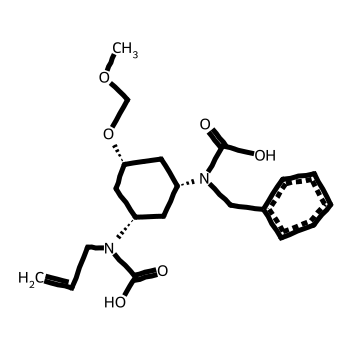 C=CCN(C(=O)O)[C@@H]1C[C@H](OCOC)C[C@H](N(Cc2ccccc2)C(=O)O)C1